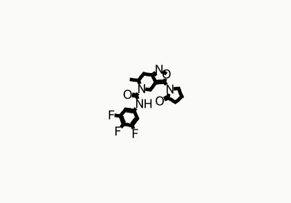 CC1Cc2noc(N3CCCC3=O)c2CN1C(=O)Nc1cc(F)c(F)c(F)c1